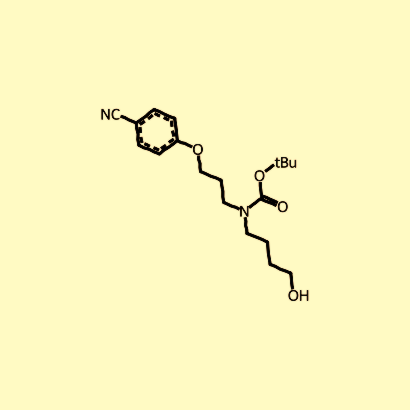 CC(C)(C)OC(=O)N(CCCCO)CCCOc1ccc(C#N)cc1